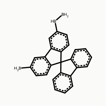 BBc1ccc2c(c1)-c1cc(B)ccc1C21c2ccccc2-c2ccccc21